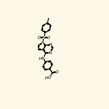 Cc1ccc(S(=O)(=O)n2ccc3c(Nc4ccc(C(=O)O)cc4)ncnc32)cc1